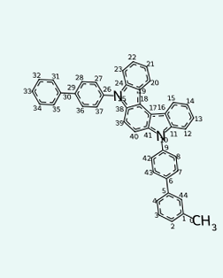 Cc1cccc(-c2ccc(-n3c4ccccc4c4c5c6ccccc6n(-c6ccc(-c7ccccc7)cc6)c5ccc43)cc2)c1